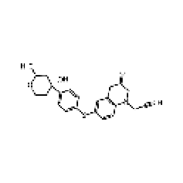 C#CCN1CC(=O)Cc2cc(Sc3ccc([C@@]4(O)CCO[C@@H](C)C4)cc3)ccc21